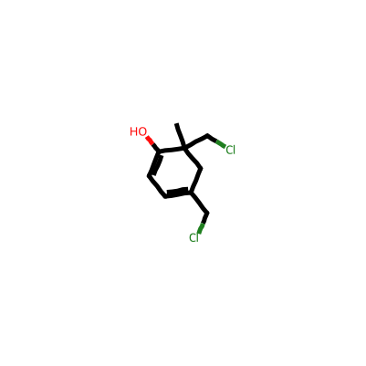 CC1(CCl)CC(CCl)=CC=C1O